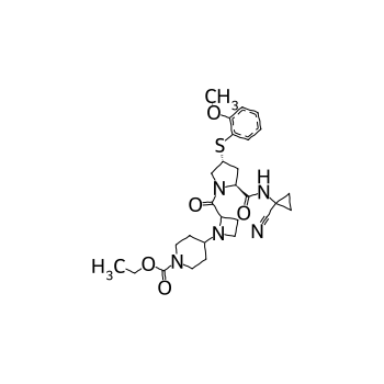 CCOC(=O)N1CCC(N2CCC2C(=O)N2C[C@H](Sc3ccccc3OC)C[C@H]2C(=O)NC2(C#N)CC2)CC1